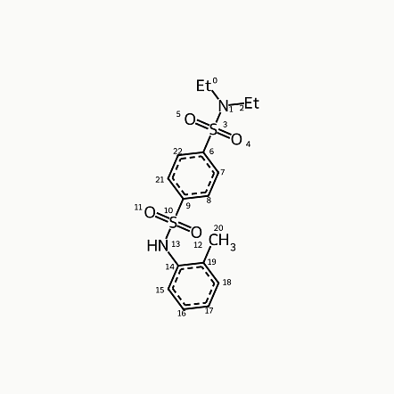 CCN(CC)S(=O)(=O)c1ccc(S(=O)(=O)Nc2ccccc2C)cc1